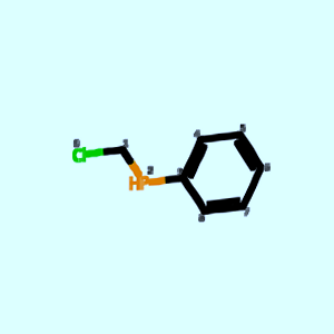 ClCPc1ccccc1